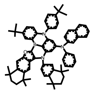 CC(C)(C)c1ccc(N2c3ccc(C(C)(C)C)cc3B3c4oc5cc6c(cc5c4N(c4ccc5c(c4)C(C)(C)CCC5(C)C)c4cc(N(c5ccccc5)c5ccc7ccccc7c5)cc2c43)C(C)(C)CCC6(C)C)cc1